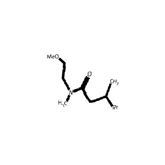 COCCN(C)C(=O)CC(C)C(C)C